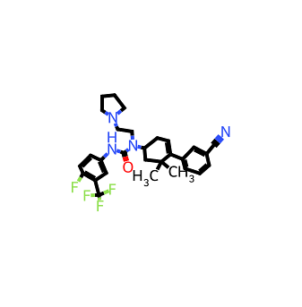 CC1(C)CC(N(CCN2CCCC2)C(=O)Nc2ccc(F)c(C(F)(F)F)c2)CC=C1c1cccc(C#N)c1